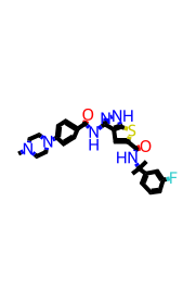 CN1CCN(c2ccc(C(=O)Nc3n[nH]c4sc(C(=O)NC(C)(C)c5cccc(F)c5)cc34)cc2)CC1